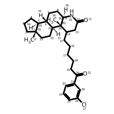 C[C@@]12CCC[C@H]1[C@@H]1CC[C@H]3NC(=O)CC(CCCCCC(=O)c4cccc(Cl)c4)[C@]3(C)[C@H]1CC2